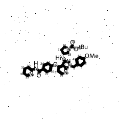 COc1ccc(Cn2nc(N[C@@H]3CCN(C(=O)OC(C)(C)C)C3)c3c(Oc4ccc(C(=O)Nc5ccccn5)cc4)ccnc32)cc1